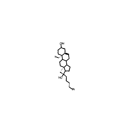 CC(C)CCCC[C@](C)(O)C1CCC2C3CC=C4CC(O)CC[C@]4(CI)C3CC[C@@]21C